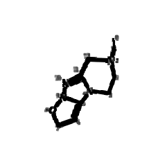 IN1CCN2C3=CCON3N=C2C1